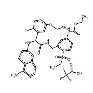 CCOC(=O)Nc1ccc(S(=O)(=O)CC)c(CNC(=O)C(Nc2ccc3c(N)nccc3c2)c2cc(OCC)ccc2F)c1.O=C(O)C(F)(F)F